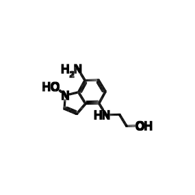 Nc1ccc(NCCO)c2ccn(O)c12